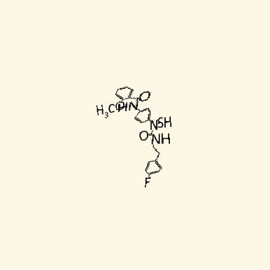 COc1ccccc1C(=O)Nc1ccc(N(S)C(=O)NCCc2ccc(F)cc2)cc1